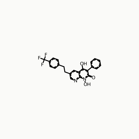 O=c1c(-c2ccccc2)c(O)c2cc(CCc3ccc(C(F)(F)F)cc3)cnc2n1O